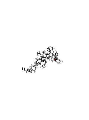 COc1cc(C(=O)N2CC3CCC2[C@@H]3N)cc2sc(-c3cc4ccc(N5CCC(OC)CC5)nc4n3CC3CC3)c(C)c12